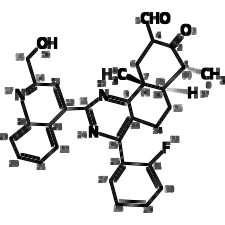 C[C@H]1C(=O)C(C=O)C[C@@]2(C)c3nc(-c4cc(CO)nc5ccccc45)nc(-c4ccccc4F)c3CC[C@H]12